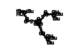 CC(C)(C)c1cc(CCCOC(=O)CCSCCCn2c(=O)n(CCCSCCC(=O)OCCCc3cc(C(C)(C)C)cc(C(C)(C)C)c3O)c(=O)n(CCCSCCC(=O)OCCCc3cc(C(C)(C)C)cc(C(C)(C)C)c3O)c2=O)c(O)c(C(C)(C)C)c1